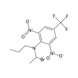 CCCN(c1c([N+](=O)[O-])cc(C(F)(F)F)cc1[N+](=O)[O-])C(C)Br